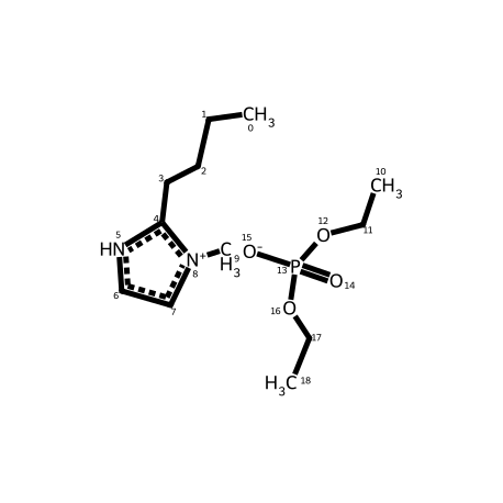 CCCCc1[nH]cc[n+]1C.CCOP(=O)([O-])OCC